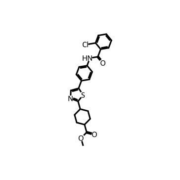 COC(=O)C1CCC(c2ncc(-c3ccc(NC(=O)c4ccccc4Cl)cc3)s2)CC1